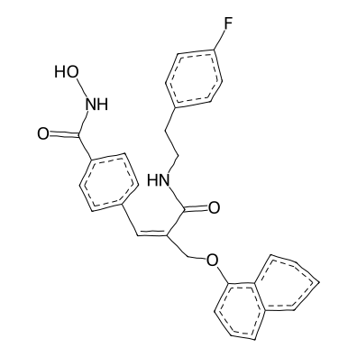 O=C(NCCc1ccc(F)cc1)C(=Cc1ccc(C(=O)NO)cc1)COc1cccc2ccccc12